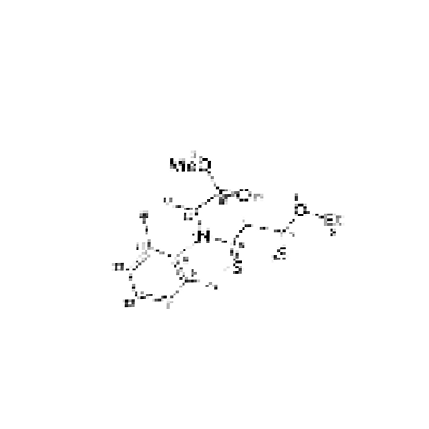 CCOC(=S)CC(=S)N(c1c(C)cccc1C)C(C)C(=O)OC